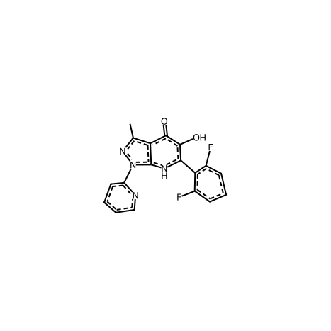 Cc1nn(-c2ccccn2)c2[nH]c(-c3c(F)cccc3F)c(O)c(=O)c12